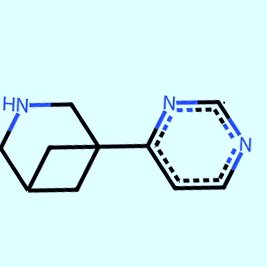 [c]1nccc(C23CNCC(C2)C3)n1